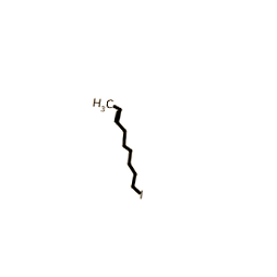 CC=CCCCCCCI